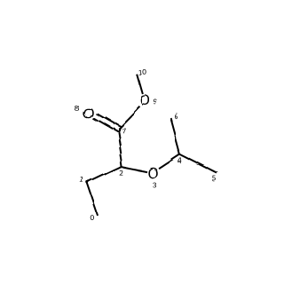 CCC(OC(C)C)C(=O)OC